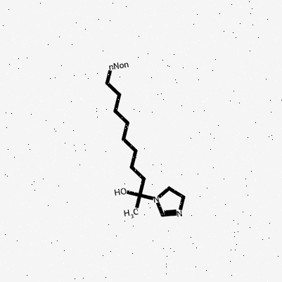 CCCCCCCCCCCCCCCCCC(C)(O)N1C=NCC1